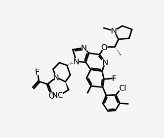 C=C(F)C(=O)N1CC[C@H](n2cnc3c(O[C@@H](C)C4CCCN4C)nc4c(F)c(-c5cccc(C)c5Cl)c(C)cc4c32)C[C@H]1CC#N